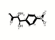 CC(=O)[C@@H](N)[C@H](O)c1ccc([N+](=O)[O-])cc1